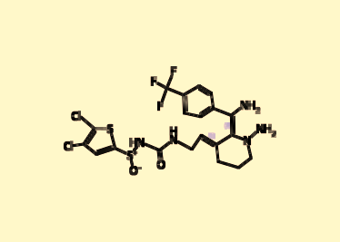 N/C(=C1/C(=C/CNC(=O)N[S+]([O-])c2cc(Cl)c(Cl)s2)CCCN1N)c1ccc(C(F)(F)F)cc1